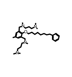 Cc1cc(CN(C)CCCN(C)C)c(OCCCCCCCCc2ccccc2)c(CN(C)CCCN(C)C)c1